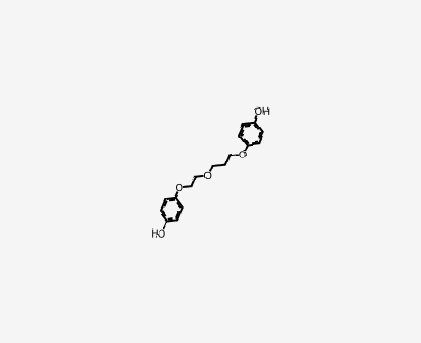 Oc1ccc(OCCCOCCOc2ccc(O)cc2)cc1